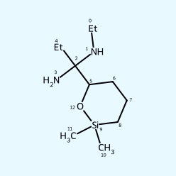 CCNC(N)(CC)C1CCC[Si](C)(C)O1